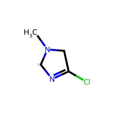 CN1[C]N=C(Cl)C1